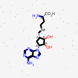 Nc1ncnc2c1ncn2[C@@H]1C[C@H](C[Se]CC[C@H](N)C(=O)O)[C@@H](O)[C@H]1O